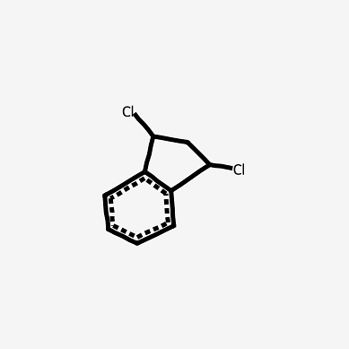 ClC1CC(Cl)c2ccccc21